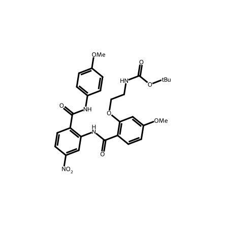 COc1ccc(NC(=O)c2ccc([N+](=O)[O-])cc2NC(=O)c2ccc(OC)cc2OCCNC(=O)OC(C)(C)C)cc1